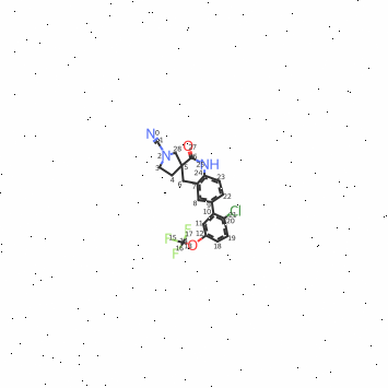 N#CN1CCC2(Cc3cc(-c4cc(OC(F)(F)F)ccc4Cl)ccc3NC2=O)C1